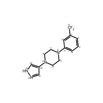 FC(F)(F)c1cccc(N2CCN(c3cn[nH]c3)CC2)c1